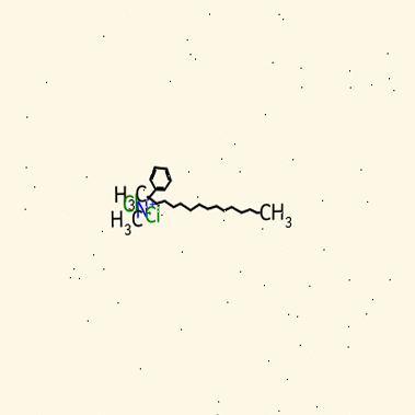 CCCCCCCCCCCCCCC(C)(c1ccccc1)[N+](C)(Cl)Cl